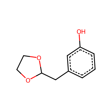 Oc1cccc(CC2OCCO2)c1